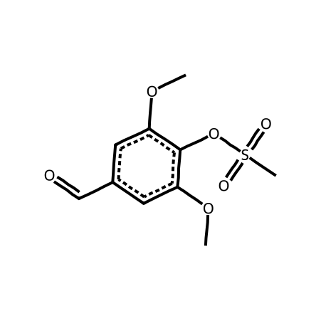 COc1cc(C=O)cc(OC)c1OS(C)(=O)=O